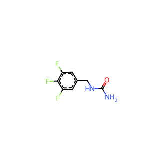 NC(=O)NCc1cc(F)c(F)c(F)c1